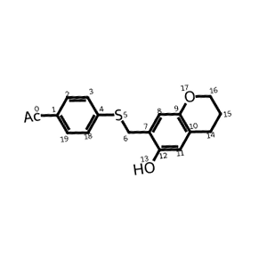 CC(=O)c1ccc(SCc2cc3c(cc2O)CCCO3)cc1